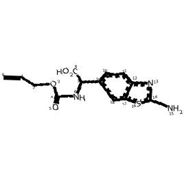 C=CCOC(=O)NC(C(=O)O)c1ccc2nc(N)sc2c1